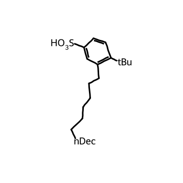 CCCCCCCCCCCCCCCCc1cc(S(=O)(=O)O)ccc1C(C)(C)C